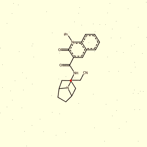 CC(C)n1c(=O)c(C(=O)NC2CC3CCC(C2)N3CCC#N)cc2ccccc21